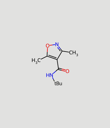 Cc1noc(C)c1C(=O)NC(C)(C)C